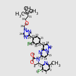 Cc1ccc(F)c(C2COC(=O)N2c2ccn3ncc(-c4ccc(-c5ncn(COCC[Si](C)(C)C)n5)c(F)c4)c3n2)n1